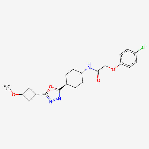 O=C(COc1ccc(Cl)cc1)N[C@H]1CC[C@H](c2nnc([C@H]3C[C@H](OC(F)(F)F)C3)o2)CC1